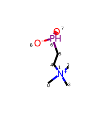 C[N+](C)(C)CC[PH](=O)[O-]